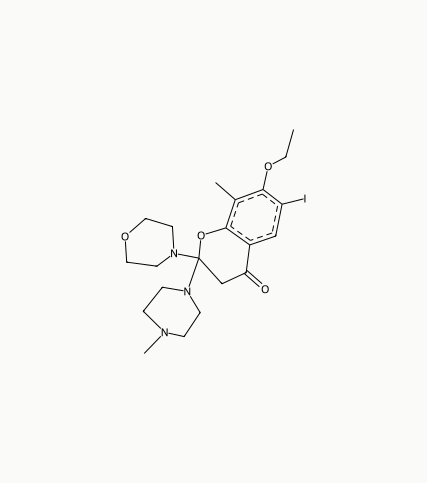 CCOc1c(I)cc2c(c1C)OC(N1CCOCC1)(N1CCN(C)CC1)CC2=O